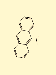 O=CBr.c1ccc2cc3ccccc3cc2c1